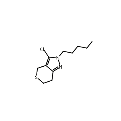 CCCCCn1nc2c(c1Cl)CSCC2